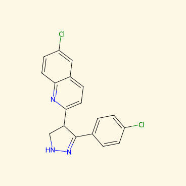 Clc1ccc(C2=NNCC2c2ccc3cc(Cl)ccc3n2)cc1